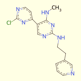 CNc1nc(NCCc2cccnc2)ncc1-c1ccnc(Cl)n1